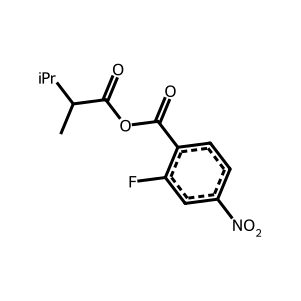 CC(C)C(C)C(=O)OC(=O)c1ccc([N+](=O)[O-])cc1F